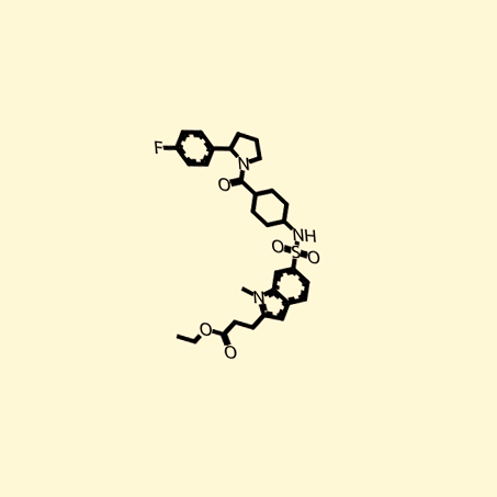 CCOC(=O)CCc1cc2ccc(S(=O)(=O)NC3CCC(C(=O)N4CCCC4c4ccc(F)cc4)CC3)cc2n1C